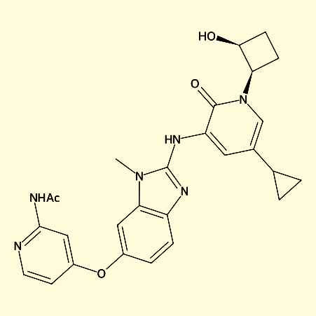 CC(=O)Nc1cc(Oc2ccc3nc(Nc4cc(C5CC5)cn([C@@H]5CC[C@@H]5O)c4=O)n(C)c3c2)ccn1